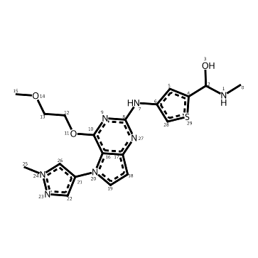 CNC(O)c1cc(Nc2nc(OCCOC)c3c(ccn3-c3cnn(C)c3)n2)cs1